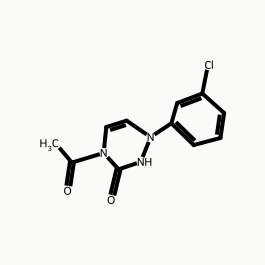 CC(=O)N1C=CN(c2cccc(Cl)c2)NC1=O